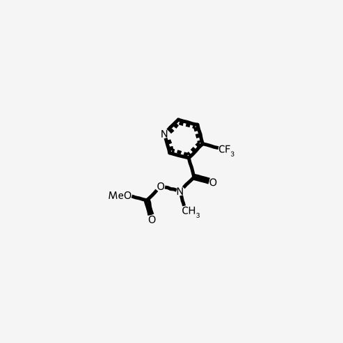 COC(=O)ON(C)C(=O)c1cnccc1C(F)(F)F